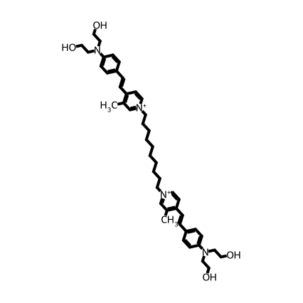 Cc1c[n+](CCCCCCCCCC[n+]2ccc(/C=C/c3ccc(N(CCO)CCO)cc3)c(C)c2)ccc1/C=C/c1ccc(N(CCO)CCO)cc1